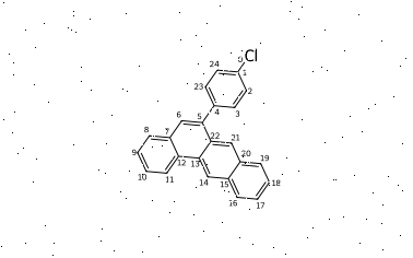 Clc1ccc(-c2cc3ccccc3c3cc4ccccc4cc23)cc1